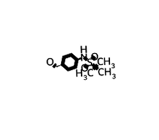 CC(C)(C)S(=O)(=O)N[C@H]1CC[C@H](C=O)CC1